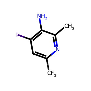 Cc1nc(C(F)(F)F)cc(I)c1N